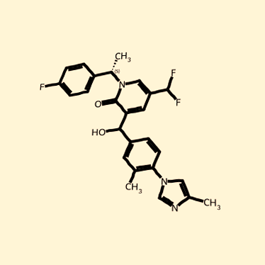 Cc1cn(-c2ccc(C(O)c3cc(C(F)F)cn([C@@H](C)c4ccc(F)cc4)c3=O)cc2C)cn1